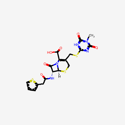 Cn1c(=O)nc(SCC2=C(C(=O)O)N3C(=O)[C@@H](NC(=O)Cc4cccs4)[C@@H]3SC2)[nH]c1=O